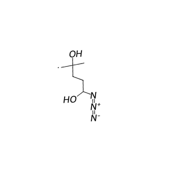 [CH2]C(C)(O)CCC(O)N=[N+]=[N-]